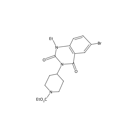 CCOC(=O)N1CCC(n2c(=O)c3cc(Br)ccc3n(CC)c2=O)CC1